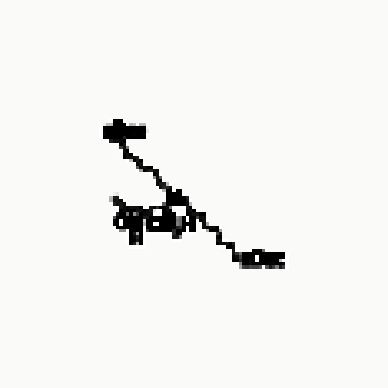 C=C(O)CC(O)(CC(=O)N(CCCCCCCCCCCCCCCCCC)CCCCCCCCCCCCCCCCCC)C(=O)O